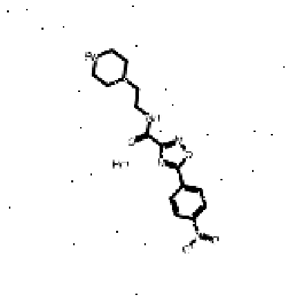 Cl.O=C(NCCC1CCNCC1)c1noc(-c2ccc([N+](=O)[O-])cc2)n1